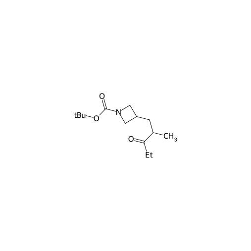 CCC(=O)C(C)CC1CN(C(=O)OC(C)(C)C)C1